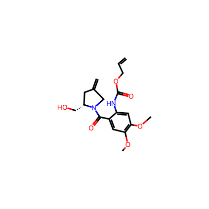 C=CCOC(=O)Nc1cc(OC)c(OC)cc1C(=O)N1CC(=C)C[C@H]1CO